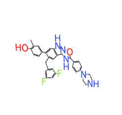 Cc1cc(-c2cc3[nH]nc(NC(=O)c4ccc(N5CCNCC5)cc4)c3cc2Cc2cc(F)cc(F)c2)ccc1O